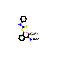 CO/N=C(\C(=O)OC)c1ccccc1CSC(=S)Nc1ccccc1